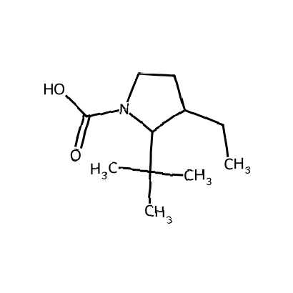 CCC1CCN(C(=O)O)C1C(C)(C)C